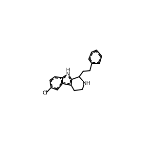 Clc1ccc2[nH]c3c(c2c1)CCNC3CCc1ccccc1